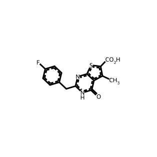 Cc1c(C(=O)O)sc2nc(Cc3ccc(F)cc3)[nH]c(=O)c12